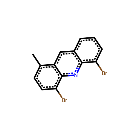 Cc1ccc(Br)c2nc3c(Br)cccc3cc12